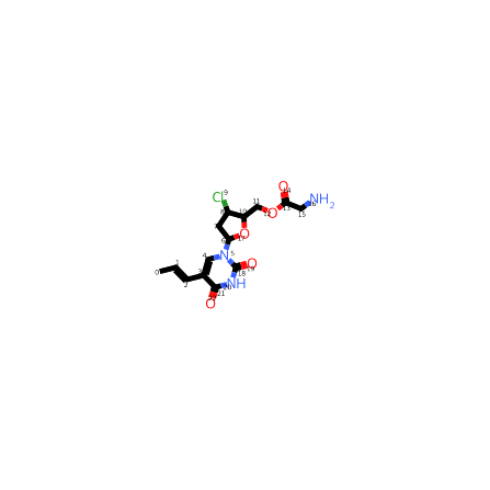 C/C=C/c1cn(C2CC(Cl)C(COC(=O)CN)O2)c(=O)[nH]c1=O